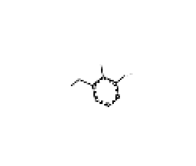 [CH2]c1c(C)cccc1CC